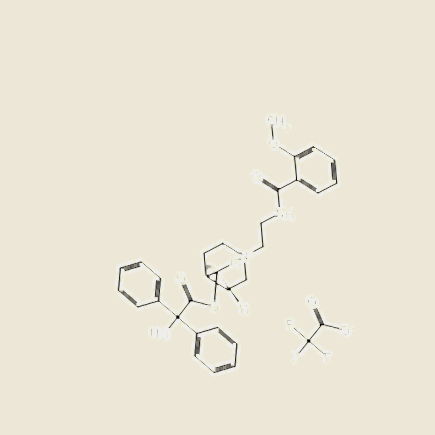 COc1ccccc1C(=O)NCC[N+]12CCC(CC1)[C@@H](OC(=O)C(O)(c1ccccc1)c1ccccc1)C2.O=C([O-])C(F)(F)F